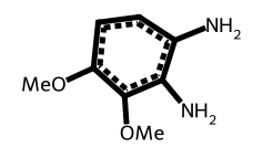 COc1ccc(N)c(N)c1OC